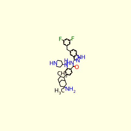 CC1CC2CC(CC(C)(N)C2)C1c1ccc(C(=O)Nc2n[nH]c3ccc(Cc4cc(F)cc(F)c4)cc23)c(NC2CCNCC2)c1